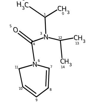 CC(C)N(C(=O)N1C=CC=CC1)C(C)C